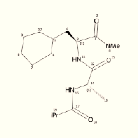 CNC(=O)[C@H](CC1CCCCC1)NC(=O)[C@H](C)NC(=O)C(C)C